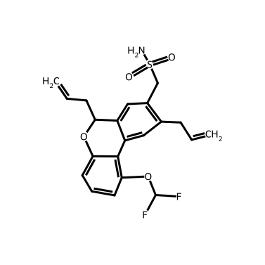 C=CCc1cc2c(cc1CS(N)(=O)=O)C(CC=C)Oc1cccc(OC(F)F)c1-2